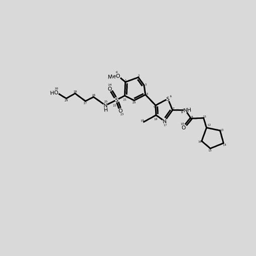 COc1ccc(-c2sc(NC(=O)CC3CCCC3)nc2C)cc1S(=O)(=O)NCCCCO